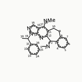 CN=C1c2ccccc2CCc2c1nc1c(cnn1C(C)c1ccccc1)c2NC